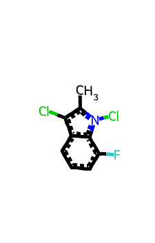 Cc1c(Cl)c2cccc(F)c2n1Cl